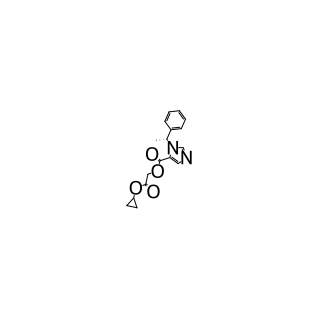 C[C@H](c1ccccc1)n1cncc1C(=O)OCC(=O)OC1CC1